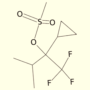 CC(C)C(OS(C)(=O)=O)(C1CC1)C(F)(F)F